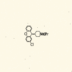 CCCN1CCC(=C2c3ccccc3Oc3ccc(Cl)cc32)CC1.Cl